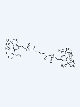 CC(C)(C)c1cc(CCC(=O)NC(=O)CCCCC(=O)NC(=O)CCc2cc(C(C)(C)C)c(O)c(C(C)(C)C)c2)cc(C(C)(C)C)c1O